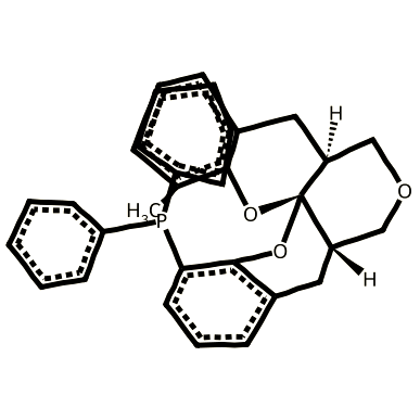 Cc1cccc2c1O[C@]13Oc4c(cccc4P(c4ccccc4)c4ccccc4)C[C@H]1COC[C@@H]3C2